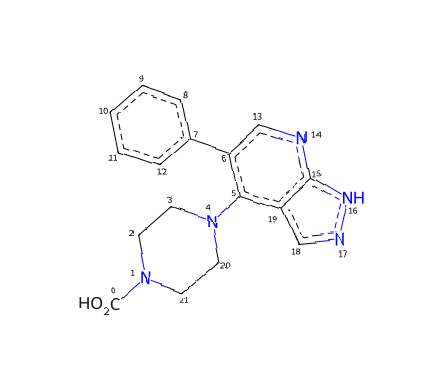 O=C(O)N1CCN(c2c(-c3ccccc3)cnc3[nH]ncc23)CC1